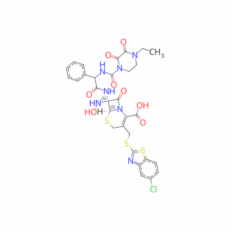 CCN1CCN(C(=O)NC(C(=O)N[C@]2(NO)C(=O)N3C(C(=O)O)=C(CSc4nc5cc(Cl)ccc5s4)CS[C@H]32)c2ccccc2)C(=O)C1=O